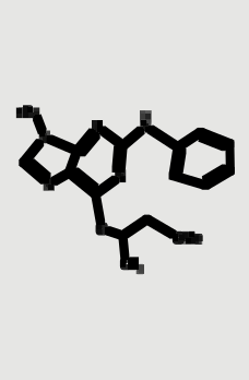 CCCCn1cnc2c(OC(C)COC)nc(Nc3ccccc3)nc21